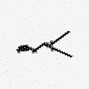 CCCCCCCCCCCCCCCC(=O)OCC(COC(=O)CCCCCCCCCCCCCCC)OC(=O)CC(C)CCCCCCCC(C)C(=O)OCO[C@@H]1CC[C@@]2(C)[C@@H](CC[C@@H]3[C@@H]2CC[C@]2(C)[C@@H](C(C)=O)CC[C@@H]32)C1